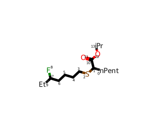 CCCCCC(SCCCCC(F)CC)C(=O)OC(C)C